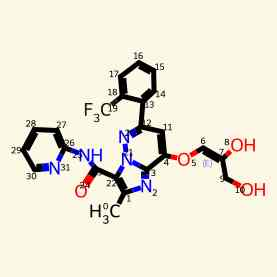 Cc1nc2c(O/C=C(/O)CO)cc(-c3ccccc3C(F)(F)F)nn2c1C(=O)Nc1ccccn1